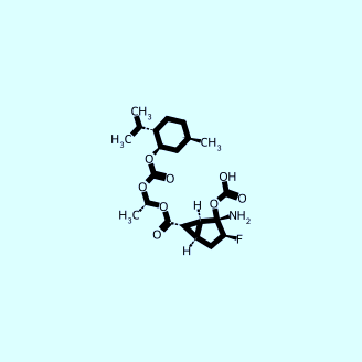 CC(C)[C@@H]1CC[C@@H](C)C[C@H]1OC(=O)O[C@@H](C)OC(=O)[C@H]1[C@@H]2C[C@H](F)[C@@](N)(OC(=O)O)[C@@H]21